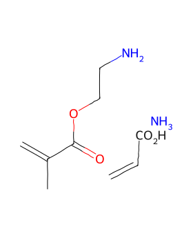 C=C(C)C(=O)OCCN.C=CC(=O)O.N